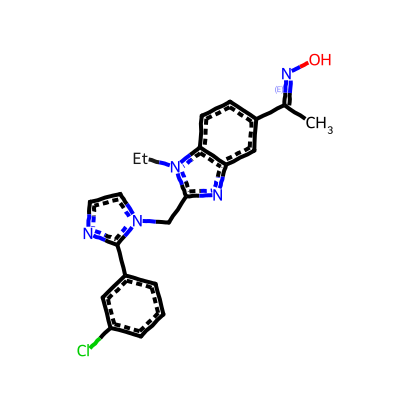 CCn1c(Cn2ccnc2-c2cccc(Cl)c2)nc2cc(/C(C)=N/O)ccc21